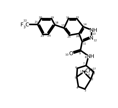 CN1C2CCC1CC(NC(=O)c1n[nH]c3ccc(-c4ccc(C(F)(F)F)cc4)cc13)C2